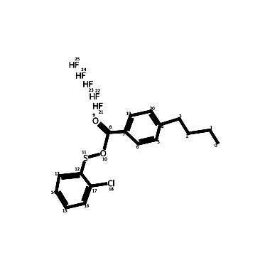 CCCCc1ccc(C(=O)OSc2ccccc2Cl)cc1.F.F.F.F.F